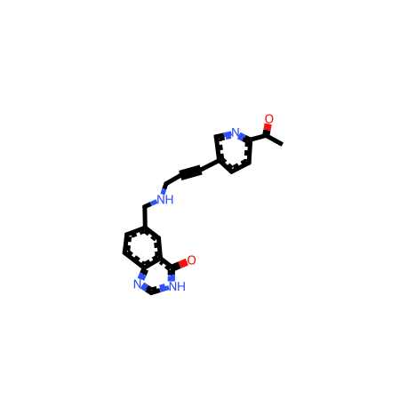 CC(=O)c1ccc(C#CCNCc2ccc3nc[nH]c(=O)c3c2)cn1